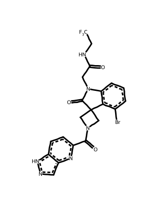 O=C(CN1C(=O)C2(CN(C(=O)c3ccc4[nH]ncc4n3)C2)c2c(Br)cccc21)NCC(F)(F)F